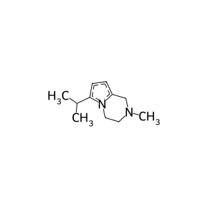 CC(C)c1ccc2n1CCN(C)C2